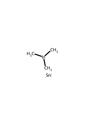 [CH3][In]([CH3])[CH3].[Sn]